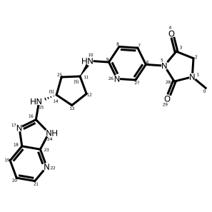 CN1CC(=O)N(c2ccc(N[C@H]3CC[C@H](Nc4nc5cccnc5[nH]4)C3)nc2)C1=O